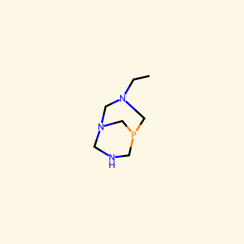 CCN1CN2CNCP(C1)C2